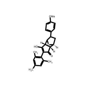 COc1ccc(C2C[C@@H]3OC2[C@H]2C(O)=C(c4c(C)cc(C)cc4C)C(=O)[C@@H]32)cc1